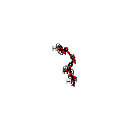 CN(CC1CCC(n2cc(NC(=O)c3coc(-c4ccnc(NCC5CC5)c4)n3)c(C(F)F)n2)CC1)CC1CCN(CCC#Cc2cccc3c2n(C)c(=O)n3C2CCC(=O)NC2=O)CC1